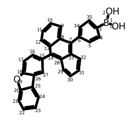 OB(O)c1ccc(-c2c3ccccc3c(-c3ccc4oc5ccccc5c4c3)c3ccccc23)cc1